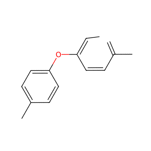 C=C(C)/C=C\C(=C/C)Oc1ccc(C)cc1